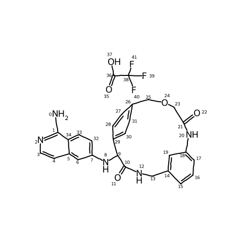 Nc1nccc2cc(NC3C(=O)NCc4cccc(c4)NC(=O)COCc4ccc3cc4)ccc12.O=C(O)C(F)(F)F